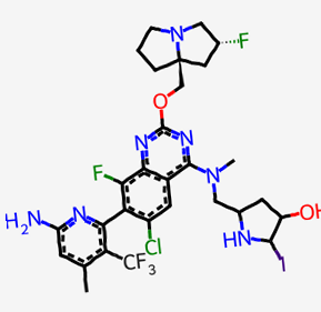 Cc1cc(N)nc(-c2c(Cl)cc3c(N(C)CC4CC(O)C(I)N4)nc(OC[C@@]45CCCN4C[C@H](F)C5)nc3c2F)c1C(F)(F)F